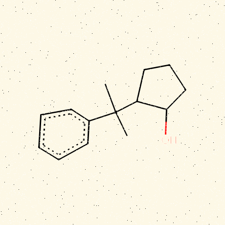 CC(C)(c1ccccc1)C1CCCC1O